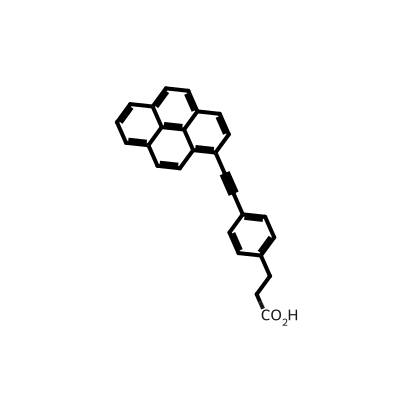 O=C(O)CCc1ccc(C#Cc2ccc3ccc4cccc5ccc2c3c45)cc1